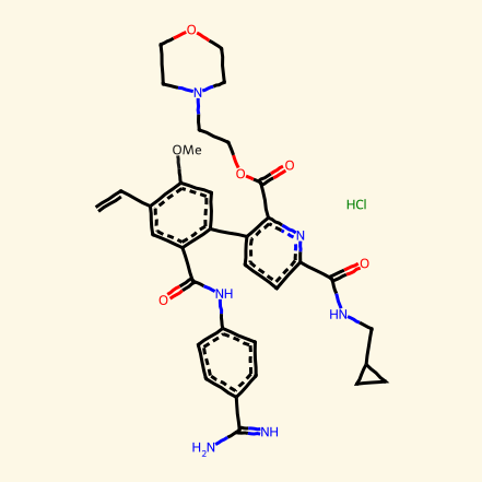 C=Cc1cc(C(=O)Nc2ccc(C(=N)N)cc2)c(-c2ccc(C(=O)NCC3CC3)nc2C(=O)OCCN2CCOCC2)cc1OC.Cl